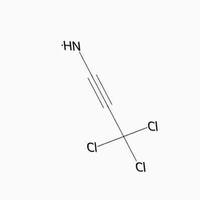 [NH]C#CC(Cl)(Cl)Cl